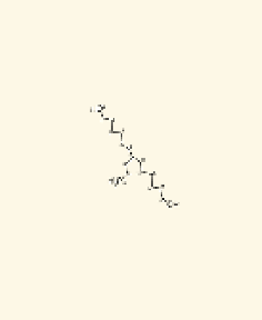 OCCCCCCC(CCP)CCCCCCO